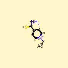 CC(=O)C[n+]1ccc(C(N)=S)cc1